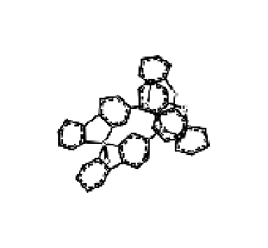 O=S12(c3ccccc3-c3ccc(N4c5ccccc5Sc5ccccc54)cc31)c1ccccc1-c1ccc(N3c4ccccc4Sc4ccccc43)cc12